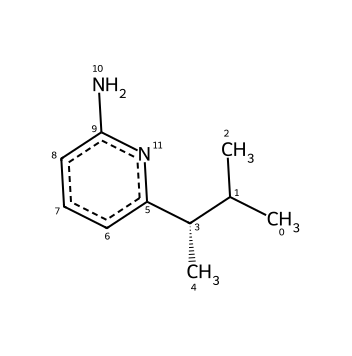 CC(C)[C@H](C)c1cccc(N)n1